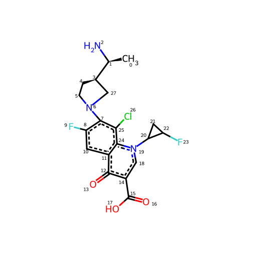 C[C@H](N)[C@@H]1CCN(c2c(F)cc3c(=O)c(C(=O)O)cn(C4CC4F)c3c2Cl)C1